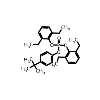 CCc1cccc(CC)c1OP(=O)(Oc1ccc(C(C)(C)C)cc1)Oc1c(CC)cccc1CC